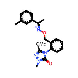 COc1nn(C)c(=O)n1-c1ccccc1CO/N=C(\C)c1cccc(C)c1